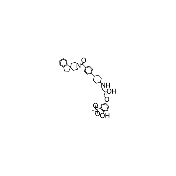 CS(=O)(=O)c1cc(OC[C@@H](O)CNC2CCC(c3ccc(C(=O)N4CCC5(CCc6ccccc65)CC4)cc3)CC2)ccc1O